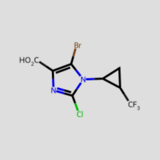 O=C(O)c1nc(Cl)n(C2CC2C(F)(F)F)c1Br